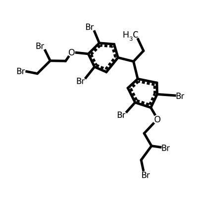 CCC(c1cc(Br)c(OCC(Br)CBr)c(Br)c1)c1cc(Br)c(OCC(Br)CBr)c(Br)c1